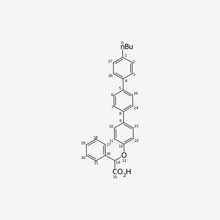 CCCCc1ccc(-c2ccc(-c3ccc(OC(C(=O)O)c4ccccc4)cc3)cc2)cc1